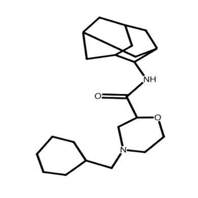 O=C(NC1C2CC3CC(C2)CC1C3)C1CN(CC2CCCCC2)CCO1